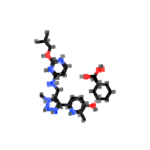 Cc1nc(-c2nnn(C)c2CNc2ccnc(OCC(C)C)n2)ccc1O[C@H]1CCC[C@H](C(=O)O)C1